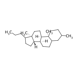 CCCC1CC[C@H]2[C@@H]3CCC4CC(C)CC[C@]4(C)[C@@H]3CC[C@]12C